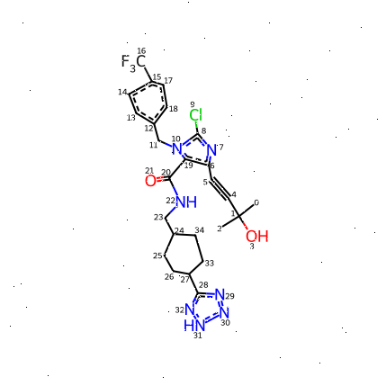 CC(C)(O)C#Cc1nc(Cl)n(Cc2ccc(C(F)(F)F)cc2)c1C(=O)NCC1CCC(c2nn[nH]n2)CC1